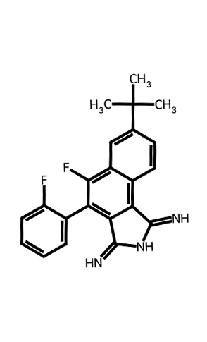 CC(C)(C)c1ccc2c3c(c(-c4ccccc4F)c(F)c2c1)C(=N)NC3=N